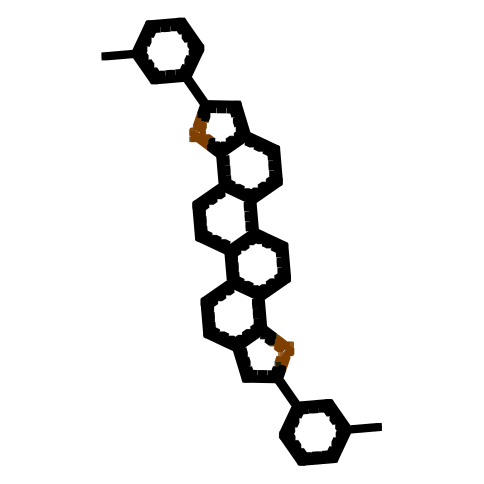 Cc1cccc(-c2cc3ccc4c5ccc6c(ccc7cc(-c8cccc(C)c8)sc76)c5ccc4c3s2)c1